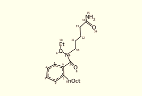 CCCCCCCCc1ccccc1C(=O)N(CCCCC(N)=O)OCC